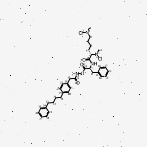 CN(Cl)CCCC[C@@H](C(=O)N[C@@H](Cc1ccccc1)C(=O)ONC(=O)Cc1ccc(CCCCc2ccccc2)cc1)N(C)Cl